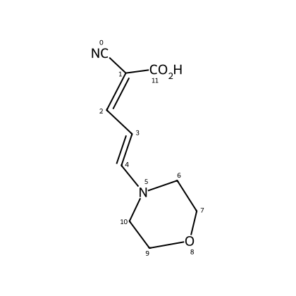 N#CC(=CC=CN1CCOCC1)C(=O)O